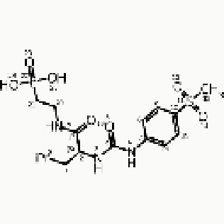 CC(C)C[C@H](NC(=O)Nc1ccc(S(C)(=O)=O)cc1)C(=O)NCCP(=O)(O)O